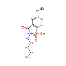 CCOc1ccc2c(c1)C(=O)N(CCCCBr)S2(=O)=O